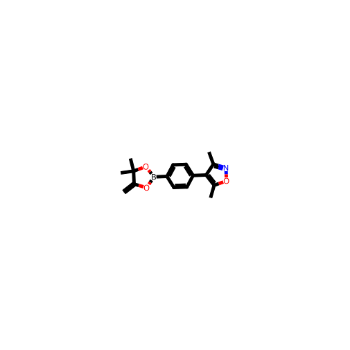 C=C1OB(c2ccc(-c3c(C)noc3C)cc2)OC1(C)C